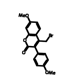 COc1ccc(-c2c(CBr)c3ccc(OC)cc3oc2=O)cc1